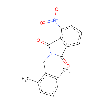 Cc1cccc(C)c1CN1C(=O)c2cccc([N+](=O)[O-])c2C1=O